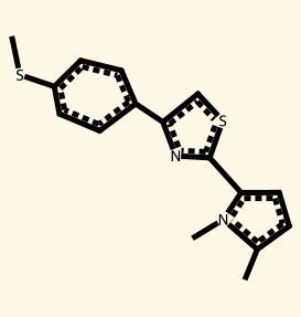 CSc1ccc(-c2csc(-c3ccc(C)n3C)n2)cc1